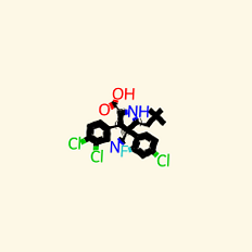 CC(C)(C)C[C@@H]1N[C@@H](C(=O)O)[C@H](c2ccc(Cl)c(Cl)c2)[C@@]1(C#N)c1ccc(Cl)cc1F